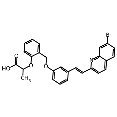 CC(Oc1ccccc1COc1cccc(C=Cc2ccc3ccc(Br)cc3n2)c1)C(=O)O